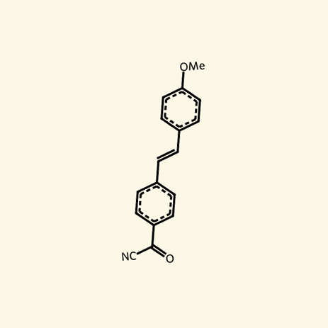 COc1ccc(C=Cc2ccc(C(=O)C#N)cc2)cc1